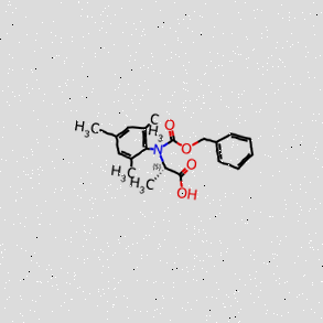 Cc1cc(C)c(N(C(=O)OCc2ccccc2)[C@@H](C)C(=O)O)c(C)c1